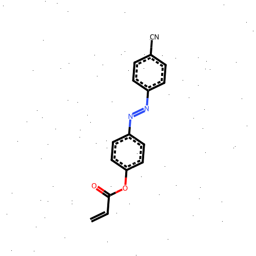 C=CC(=O)Oc1ccc(N=Nc2ccc(C#N)cc2)cc1